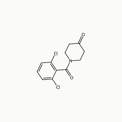 O=C1CCN(C(=O)c2c(Cl)cccc2Cl)CC1